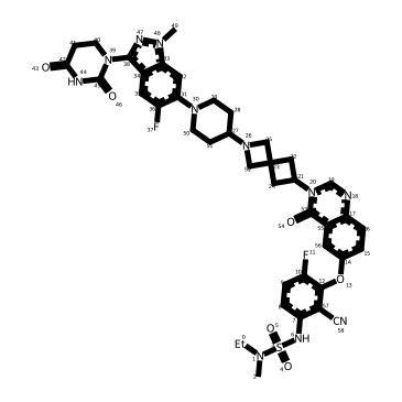 CCN(C)S(=O)(=O)Nc1ccc(F)c(Oc2ccc3ncn(C4CC5(C4)CN(C4CCN(c6cc7c(cc6F)c(N6CCC(=O)NC6=O)nn7C)CC4)C5)c(=O)c3c2)c1C#N